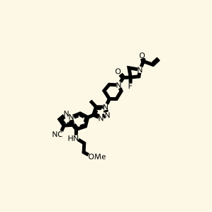 C=CC(=O)N1CC(F)(C(=O)N2CCC(n3nnc(-c4cc(NCCOC)c5c(C#N)cnn5c4)c3C)CC2)C1